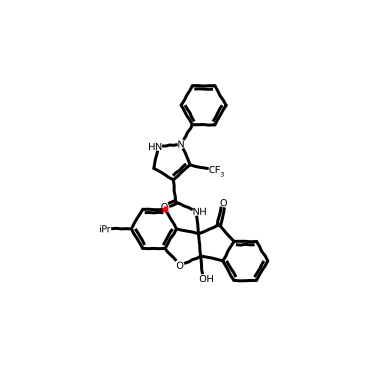 CC(C)c1ccc2c(c1)OC1(O)c3ccccc3C(=O)C21NC(=O)C1=C(C(F)(F)F)N(c2ccccc2)NC1